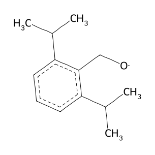 CC(C)c1cccc(C(C)C)c1C[O]